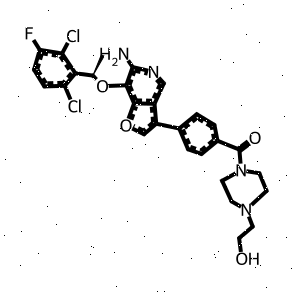 C[C@@H](Oc1c(N)ncc2c(-c3ccc(C(=O)N4CCN(CCO)CC4)cc3)coc12)c1c(Cl)ccc(F)c1Cl